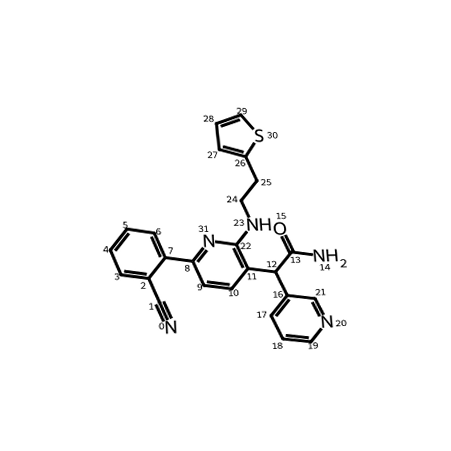 N#Cc1ccccc1-c1ccc(C(C(N)=O)c2cccnc2)c(NCCc2cccs2)n1